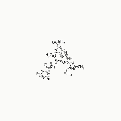 CCn1nc(C)cc1C(=O)Nc1nc2cc(C(N)=O)cc(OC)c2n1CC=CCNC(=O)c1cc(F)nc(F)c1